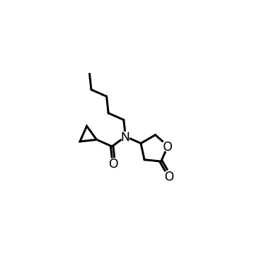 CCCCCN(C(=O)C1CC1)C1COC(=O)C1